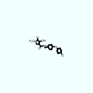 CN1CC(C(=O)NCc2ccc(Oc3ccc(Cl)cc3)cc2)=C(O)C1=O